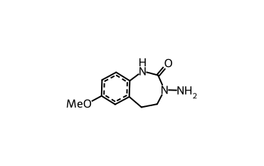 COc1ccc2c(c1)CCN(N)C(=O)N2